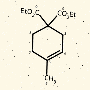 CCOC(=O)C1(C(=O)OCC)CC=C(C)CC1